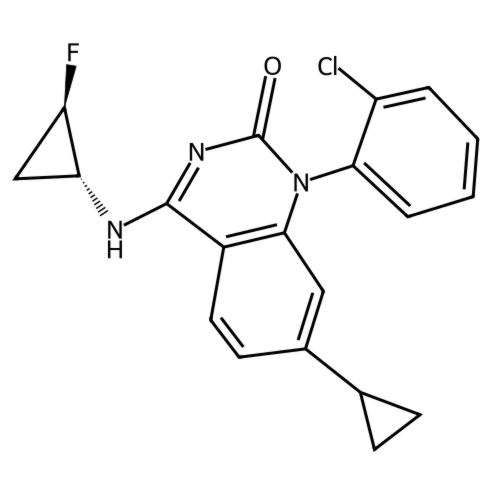 O=c1nc(N[C@@H]2C[C@H]2F)c2ccc(C3CC3)cc2n1-c1ccccc1Cl